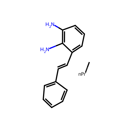 CCCC.Nc1cccc(C=Cc2ccccc2)c1N